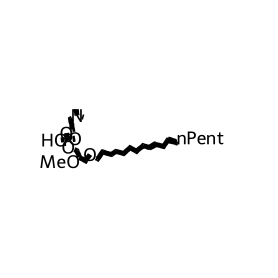 CCCCCC=CCC=CCCCCCCCCOCC(COP(=O)(O)OCCN(C)C)OC